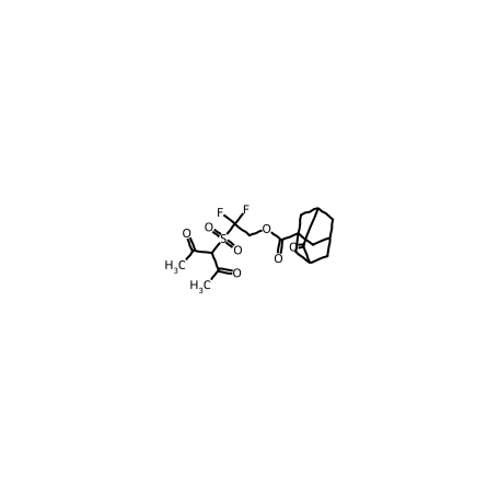 CC(=O)C(C(C)=O)S(=O)(=O)C(F)(F)COC(=O)C12CC3CC(C1)C(=O)C(C3)C2